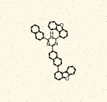 c1ccc2cc(C3=NC(c4ccc5cc(-c6cccc7oc8ccccc8c67)ccc5c4)=NC(c4cccc5oc6ccccc6c45)N3)ccc2c1